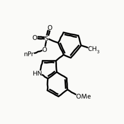 CCCOS(=O)(=O)c1ccc(C)cc1-c1c[nH]c2ccc(OC)cc12